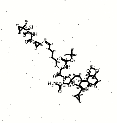 CC(C)(C)OC(=O)N[C@@H](CCCCC/C=C\[C@@H]1C[C@@H]1C(=O)NS(=O)(=O)C1(C)CC1)C(=O)N1C[C@@]2(CCc3c(c(C4CC4)nc4ccc5c(c34)OCO5)O2)C[C@H]1C(N)=O